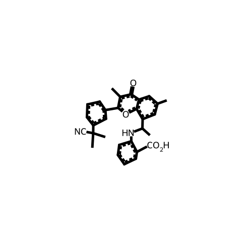 Cc1cc(C(C)Nc2ccccc2C(=O)O)c2oc(-c3cccc(C(C)(C)C#N)c3)c(C)c(=O)c2c1